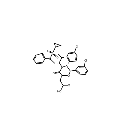 CC(C)[C@@H](CN(c1ccccc1)S(=O)(=O)C1CC1)N1C(=O)[C@H](CC(=O)O)O[C@H](c2cccc(Cl)c2)[C@H]1c1ccc(Cl)cc1